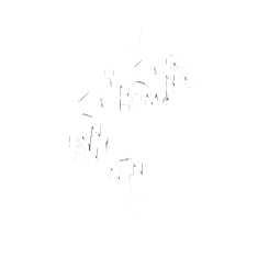 COc1c(NC(=O)c2ccc(C)c(N3C=C(c4cnc(C5CCC5)n4C)NN3)c2)cc(C2(C)CC2)cc1NS(C)(=O)=O